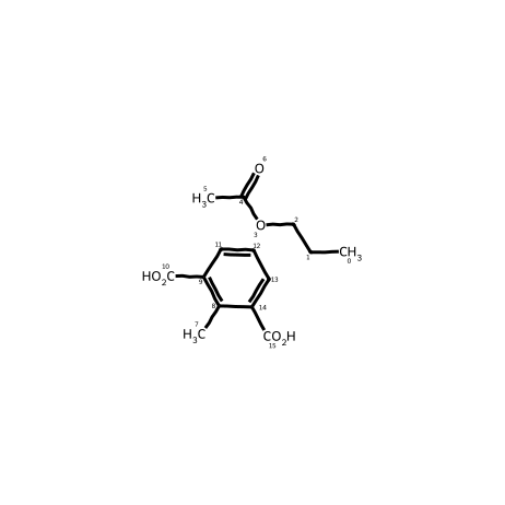 CCCOC(C)=O.Cc1c(C(=O)O)cccc1C(=O)O